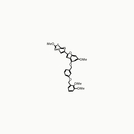 COc1cc(OCc2cccc(OCc3cccc(OC)c3OC)c2)c2cc(-c3cn4nc(OC)sc4n3)oc2c1